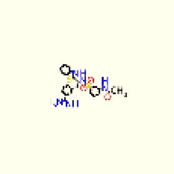 CC(=O)Nc1cccc(S(=O)(=O)N[C@@H](Cc2cccc(C(=N)N)c2)c2nc3ccccc3s2)c1